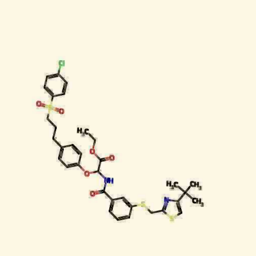 CCOC(=O)C(NC(=O)c1cccc(SCc2nc(C(C)(C)C)cs2)c1)Oc1ccc(CCCS(=O)(=O)c2ccc(Cl)cc2)cc1